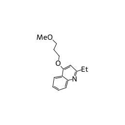 CCc1cc(OCCCOC)c2ccccc2n1